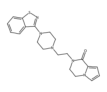 O=C1c2cccn2CCN1CCN1CCN(c2nsc3ccccc23)CC1